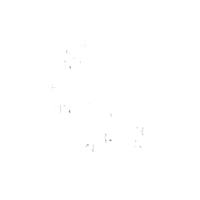 CCCS(=O)(=O)Nc1ccc(F)c(Nc2ccc3ncn(-c4cnn(C)c4)c(=O)c3c2)c1F